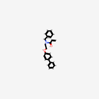 C=CC(=O)N(CCOc1ccc(-c2ccccc2)cc1)Cc1ccccc1